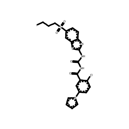 O=C(NC(=O)c1cc(-n2cccc2)ccc1Cl)Nc1nc2ccc(S(=O)(=O)CCCI)cc2s1